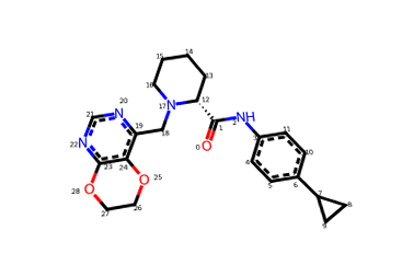 O=C(Nc1ccc(C2CC2)cc1)[C@H]1CCCCN1Cc1ncnc2c1OCCO2